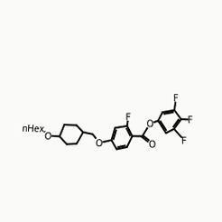 CCCCCCOC1CCC(COc2ccc(C(=O)Oc3cc(F)c(F)c(F)c3)c(F)c2)CC1